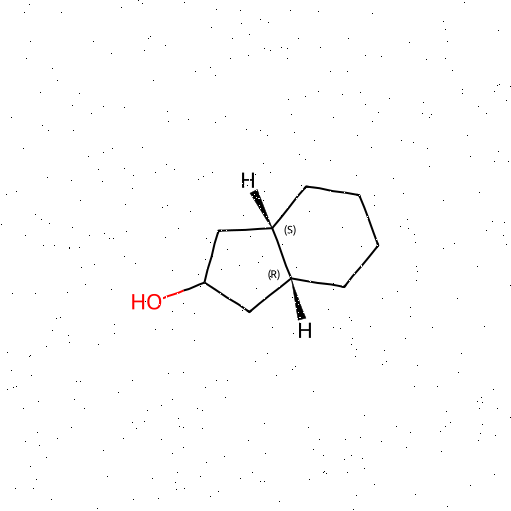 OC1C[C@H]2CCCC[C@H]2C1